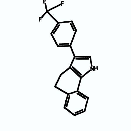 FC(F)(F)c1ccc(-c2c[nH]c3c2CCc2ccccc2-3)cc1